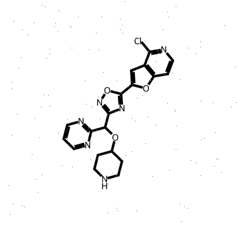 Clc1nccc2oc(-c3nc(C(OC4CCNCC4)c4ncccn4)no3)cc12